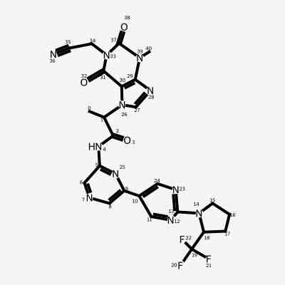 CC(C(=O)Nc1cncc(-c2cnc(N3CCCC3C(F)(F)F)nc2)n1)n1cnc2c1c(=O)n(CC#N)c(=O)n2C